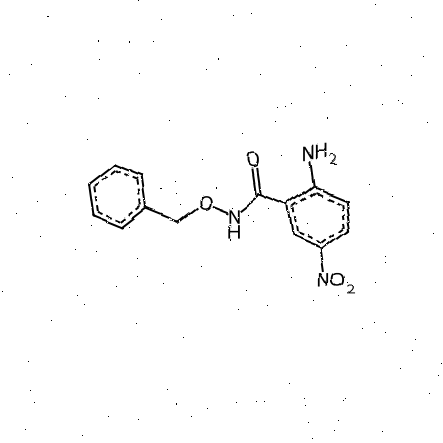 Nc1ccc([N+](=O)[O-])cc1C(=O)NOCc1ccccc1